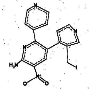 Nc1nc(-c2ccncc2)c(-c2ccncc2CI)cc1[N+](=O)[O-]